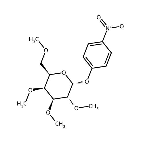 COC[C@H]1O[C@H](Oc2ccc([N+](=O)[O-])cc2)[C@H](OC)[C@@H](OC)[C@H]1OC